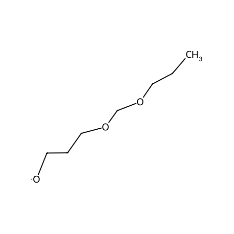 CCCOCOCCC[O]